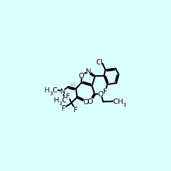 CCOC(=O)c1c(-c2c(F)cccc2Cl)noc1/C(=C/N(C)C)C(=O)C(F)(F)F